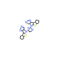 c1ccc2c(c1)sc1c2c2ncncc2n1-c1ccnc(-n2c3cncnc3c3c4ccccc4sc32)n1